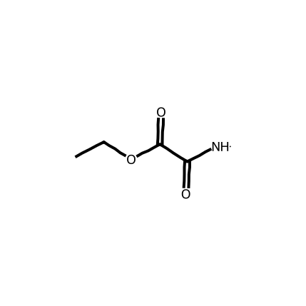 CCOC(=O)C([NH])=O